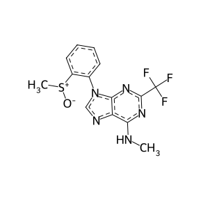 CNc1nc(C(F)(F)F)nc2c1ncn2-c1ccccc1[S+](C)[O-]